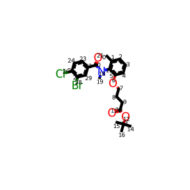 Cc1cccc(OCCCC(=O)OC(C)(C)C)c1N(C)C(=O)c1ccc(Cl)c(Br)c1